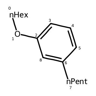 CCCCCCOc1cccc(CCCCC)c1